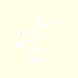 CCCCCCCCCCOC(=O)C(CS)SC(CS)C(=O)OCCCCCCCCCC